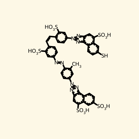 Cc1cc(-n2n3c4cc(S(=O)(=O)O)c5cc(S(=O)(=O)O)ccc5c4n23)ccc1N=Nc1ccc(/C=C\c2ccc(-n3n4c5cc(S(=O)(=O)O)c6cc(S)ccc6c5n34)cc2S(=O)(=O)O)c(S(=O)(=O)O)c1